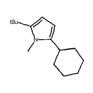 Cn1c(C2CCCCC2)ccc1C(C)(C)C